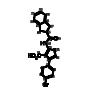 O=C(O)c1c(-c2ccc(Br)cc2)csc1NC(=O)C1Cc2ccccc2C1